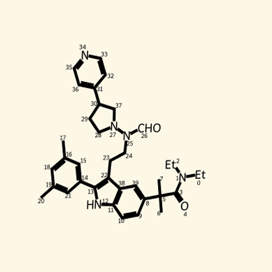 CCN(CC)C(=O)C(C)(C)c1ccc2[nH]c(-c3cc(C)cc(C)c3)c(CCN(C=O)N3CCC(c4ccncc4)C3)c2c1